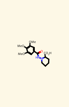 COc1cc(C(=O)NN2CCCCC2C(=O)O)cc(OC)c1OC